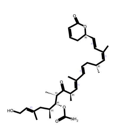 CC(=C/[C@H](C)C/C=C/C(C)=C/[C@@H](C)C(=O)[C@@H](C)[C@H](OC(N)=O)[C@@H](C)C/C(C)=C/CO)/C=C/[C@H]1CC=CC(=O)O1